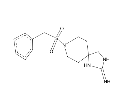 N=C1NCC2(CCN(S(=O)(=O)Cc3ccccc3)CC2)N1